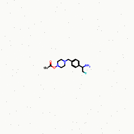 CC(C)(C)C(=O)ON1CCN(Cc2ccc(C(N)CF)cc2)CC1